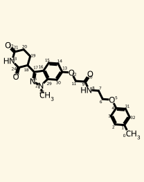 Cc1ccc(OCCNC(=O)COc2ccc3c(C4CCC(=O)NC4=O)nn(C)c3c2)cc1